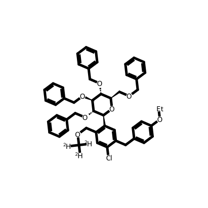 [2H]C([2H])([2H])OCc1cc(Cl)c(Cc2ccc(OCC)cc2)cc1[C@@H]1O[C@H](COCc2ccccc2)[C@@H](OCc2ccccc2)[C@H](OCc2ccccc2)[C@H]1OCc1ccccc1